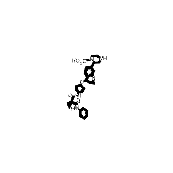 O=C(O)N1CCNCC1c1ccc2c(Oc3ccc(NC(=O)C4(C(=O)Nc5ccccc5)CC4)cc3)ccnc2c1